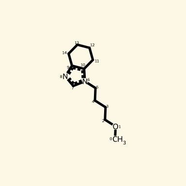 COCCCCn1cnc2c1CCCC2